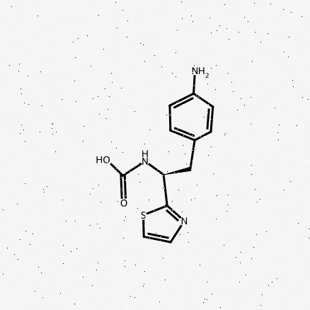 Nc1ccc(C[C@H](NC(=O)O)c2nccs2)cc1